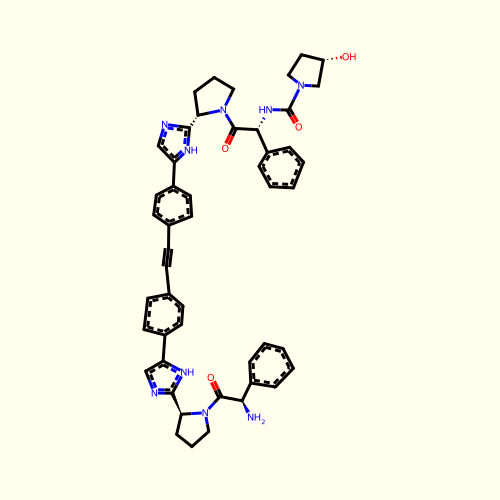 N[C@@H](C(=O)N1CCC[C@H]1c1ncc(-c2ccc(C#Cc3ccc(-c4cnc([C@@H]5CCCN5C(=O)[C@H](NC(=O)N5CC[C@H](O)C5)c5ccccc5)[nH]4)cc3)cc2)[nH]1)c1ccccc1